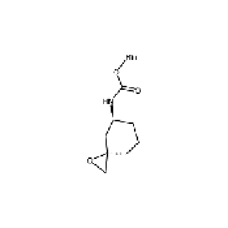 CC(C)(C)OC(=O)N[C@H]1CCC[C@@]2(CO2)C1